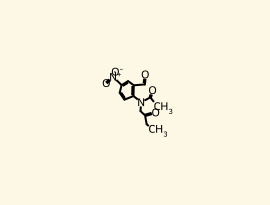 CCC(=O)CN(C(C)=O)c1ccc([N+](=O)[O-])cc1C=O